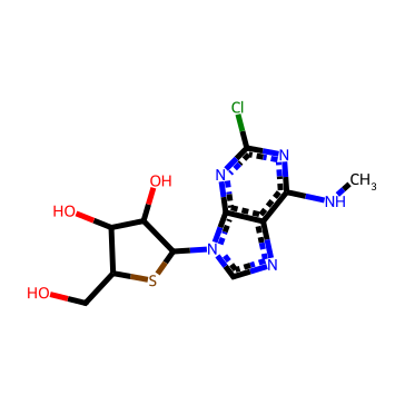 CNc1nc(Cl)nc2c1ncn2C1SC(CO)C(O)C1O